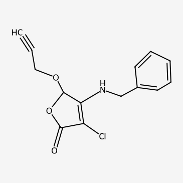 C#CCOC1OC(=O)C(Cl)=C1NCc1ccccc1